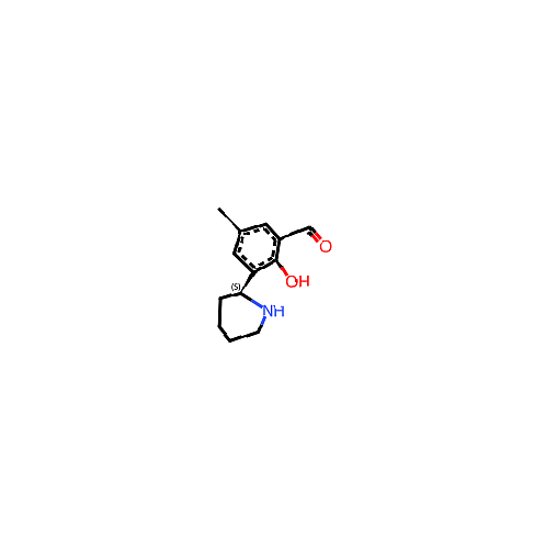 Cc1cc(C=O)c(O)c([C@@H]2CCCCN2)c1